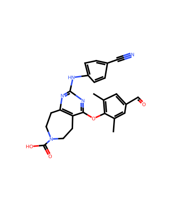 Cc1cc(C=O)cc(C)c1Oc1nc(Nc2ccc(C#N)cc2)nc2c1CCN(C(=O)O)CC2